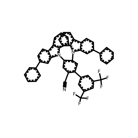 N#Cc1cc(-n2c3ccccc3c3ccc(-c4ccccc4)cc32)c(-n2c3ccccc3c3ccc(-c4ccccc4)cc32)cc1-c1cc(C(F)(F)F)cc(C(F)(F)F)c1